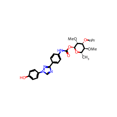 CCCO[C@@H]1[C@@H](OC)[C@H](C)O[C@@H](OC(=O)Nc2ccc(-c3ncn(-c4ccc(O)cc4)n3)cc2)[C@@H]1OC